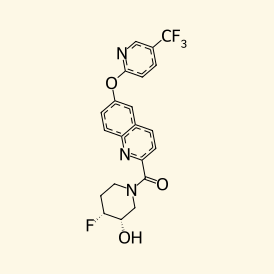 O=C(c1ccc2cc(Oc3ccc(C(F)(F)F)cn3)ccc2n1)N1CC[C@@H](F)[C@@H](O)C1